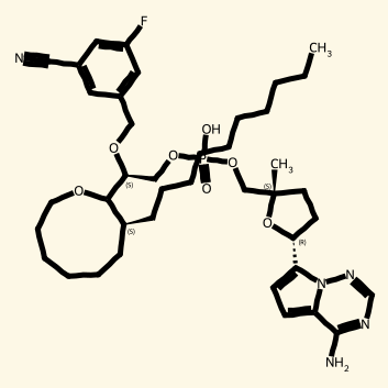 CCCCCCCCCC[C@H]1CCCCCCOC1[C@H](COP(=O)(O)OC[C@]1(C)CC[C@H](c2ccc3c(N)ncnn23)O1)OCc1cc(F)cc(C#N)c1